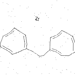 [CH](c1ccccc1)c1ccccc1.[Zr]